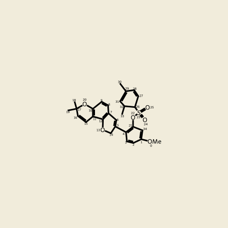 COc1ccc(C2=Cc3ccc4c(c3OC2)C=CC(C)(C)O4)c(OS(=O)(=O)C2C=CC(C)=CC2C)c1